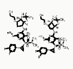 CCCSc1nc(N[C@@H]2C[C@H](OCCO)[C@H]3OC(C)(C)O[C@H]32)c(N)c(N([C@@H]2C[C@H]2c2ccc(F)c(F)c2)S(=O)(=O)N(C)C)n1.CCCSc1nc(N[C@@H]2C[C@H](OCCO)[C@H]3OC(C)(C)O[C@H]32)c([N+](=O)[O-])c(N([C@@H]2C[C@H]2c2ccc(F)c(F)c2)S(=O)(=O)N(C)C)n1